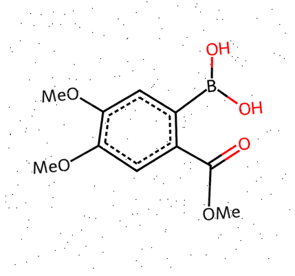 COC(=O)c1cc(OC)c(OC)cc1B(O)O